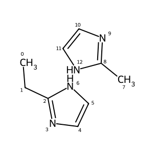 CCc1ncc[nH]1.Cc1ncc[nH]1